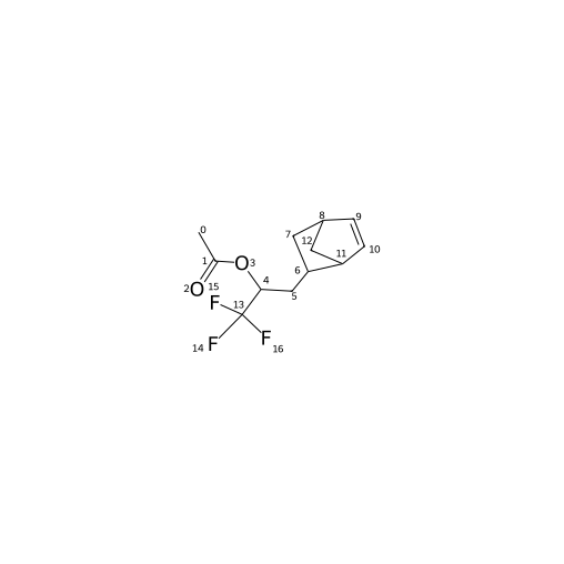 CC(=O)OC(CC1CC2C=CC1C2)C(F)(F)F